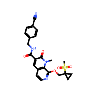 Cn1c(=O)c(C(=O)NCc2ccc(C#N)cc2)cc2ccnc(OCC3(S(C)(=O)=O)CC3)c21